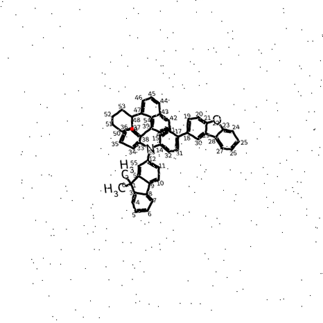 CC1(C)c2ccccc2-c2ccc(N(c3ccc(-c4ccc5oc6ccccc6c5c4)cc3)c3ccccc3-c3cccc4cccc(C5CCCCC5)c34)cc21